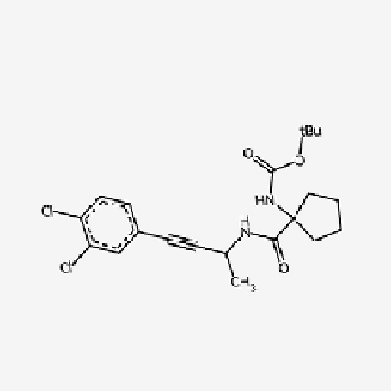 CC(C#Cc1ccc(Cl)c(Cl)c1)NC(=O)C1(NC(=O)OC(C)(C)C)CCCC1